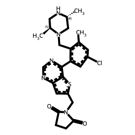 Cc1cc(Cl)cc(-c2ncnc3cc(CN4C(=O)CCC4=O)sc23)c1CN1C[C@@H](C)NC[C@@H]1C